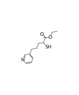 CCOC(=O)C(S)CCCc1cccnc1